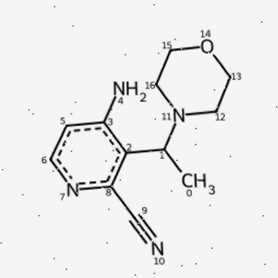 CC(c1c(N)ccnc1C#N)N1CCOCC1